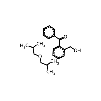 CC(C)COCC(C)C.O=C(c1ccccc1)c1ccccc1CO